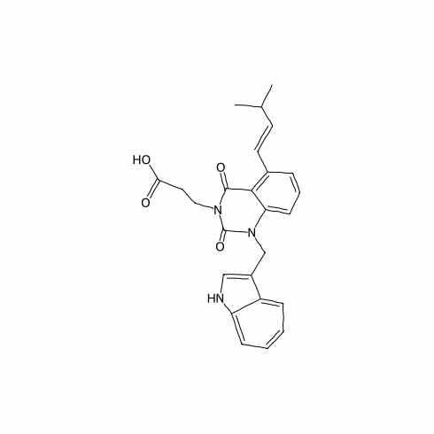 CC(C)C=Cc1cccc2c1c(=O)n(CCC(=O)O)c(=O)n2Cc1c[nH]c2ccccc12